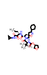 CCC[C@H](NC(=O)[C@@H]1C[C@]2(CC(C3CCCCC3)=NO2)CN1C(=O)[C@@H](NC(=O)O[C@H]1CCOC1)C(C)(C)C)C(=O)C(=O)NC1CC1